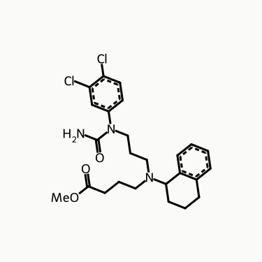 COC(=O)CCCN(CCCN(C(N)=O)c1ccc(Cl)c(Cl)c1)C1CCCc2ccccc21